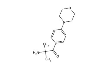 CC(C)(N)C(=O)c1ccc(N2CCOCC2)cc1